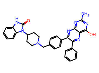 Nc1nc(O)c2nc(-c3ccccc3)c(-c3ccc(CN4CCC(n5c(=O)[nH]c6ccccc65)CC4)cc3)nc2n1